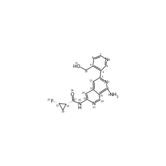 Nc1nc(-c2cnccc2CO)cc2cc(NC(=O)[C@@H]3C[C@@H]3F)ncc12